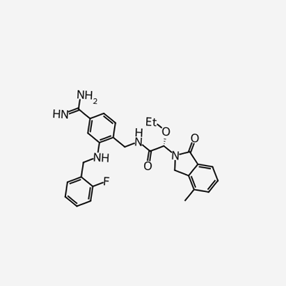 CCO[C@@H](C(=O)NCc1ccc(C(=N)N)cc1NCc1ccccc1F)N1Cc2c(C)cccc2C1=O